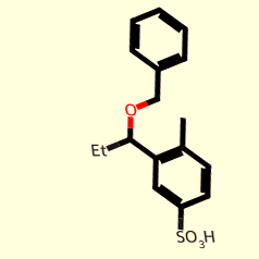 CCC(OCc1ccccc1)c1cc(S(=O)(=O)O)ccc1C